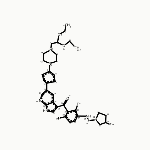 CCOC(CN1CCN(c2ccc(-c3cnc4[nH]cc(C(=O)c5c(F)ccc(NSN6CCC(F)C6)c5F)c4c3)cc2)CC1)OCC